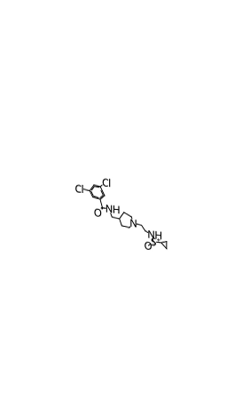 O=C(NCC1CCN(CCN[S+]([O-])C2CC2)CC1)c1cc(Cl)cc(Cl)c1